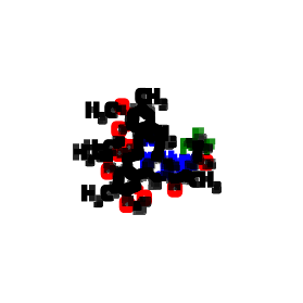 COc1c(C)cc2c(c1OC(C)=O)C1C3Cc4c(OC(C)=O)c(C)c5c(c4[C@H](CNC(=O)[C@@H](C)NC(=O)C(F)(F)F)N3[C@@H](C#N)C(C2)N1C)OCO5